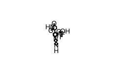 O=C(O)C(F)(F)F.O=C1CCC(c2ccc(N3CC4(CNC4)C3)cc2)C(=O)N1